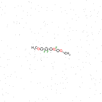 C=CCCOc1ccc(COc2ccc(-c3ccc(-c4ccc(OCC)cc4)c(F)c3F)cc2)c(F)c1